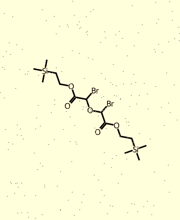 C[Si](C)(C)CCOC(=O)C(Br)OC(Br)C(=O)OCC[Si](C)(C)C